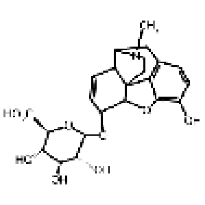 CN1CCC23c4c5ccc(O)c4OC2C(OC2O[C@H](C(=O)O)[C@@H](O)[C@H](O)[C@H]2O)C=CC3C1C5